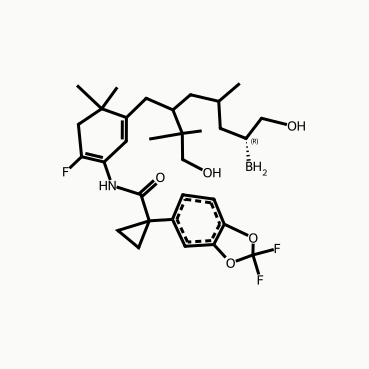 B[C@@H](CO)CC(C)CC(CC1=CC(NC(=O)C2(c3ccc4c(c3)OC(F)(F)O4)CC2)=C(F)CC1(C)C)C(C)(C)CO